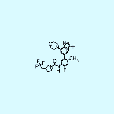 Cc1cc(F)c(NC(=O)N2CCC(CC(F)(F)F)C2)cc1-c1cc(N2CCOCC2)c2ncc(F)n2c1